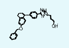 OCCCn1nnc(-c2ccc(C3=CCCc4cc(OCc5ccccc5)ccc43)cc2)n1